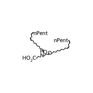 CCCCC/C=C\C/C=C\CCCCCCCCOCC(CNCCCC(=O)O)OCCCCCCCC/C=C\C/C=C\CCCCC